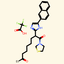 CCC(=O)CCCCCC(C(=O)N1CCSC1)c1ncc(-c2ccc3ccccc3c2)[nH]1.O=C(O)C(F)(F)F